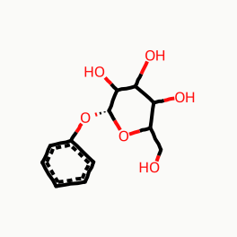 OCC1O[C@H](Oc2ccccc2)C(O)C(O)C1O